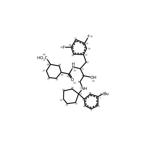 CC(C)(C)c1cccc(C2(NCC(O)C(Cc3cc(F)cc(F)c3)NC(=O)C3CCCC(C(=O)O)C3)CCCCC2)c1